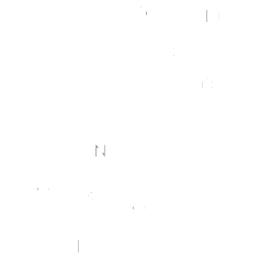 CCS(=O)(=O)c1ccn(S(=O)(=O)CC)c1